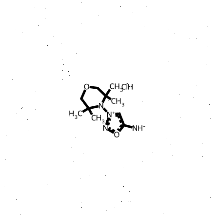 CC1(C)COCC(C)(C)N1[n+]1cc([NH-])on1.Cl